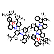 CC(C)(C)c1ccc2c(c1)N(c1cccc3c1oc1ccccc13)c1cc(C(C)(C)Cc3cc4c5c(c3)c3c(n5-c5cc(C(C)(C)C)cc6c5B4c4ccc(C(C)(C)C)cc4N6c4cccc5c4oc4cc(C(C)(C)C)ccc45)-c4ccccc4C3(C)C)cc3c1B2c1cccc2c4c(n-3c12)-c1ccccc1C4(C)C